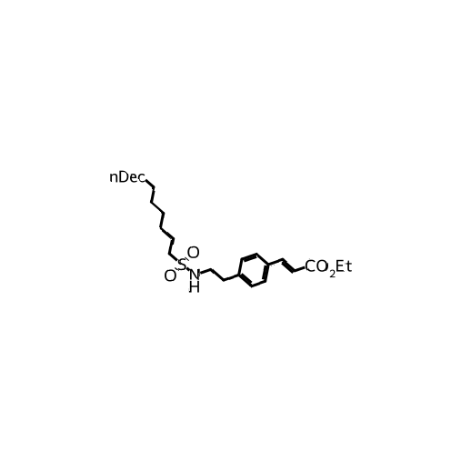 CCCCCCCCCCCCCCCCS(=O)(=O)NCCc1ccc(C=CC(=O)OCC)cc1